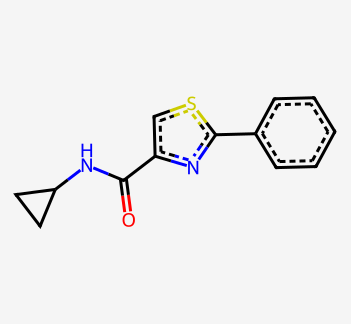 O=C(NC1CC1)c1csc(-c2ccccc2)n1